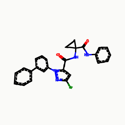 O=C(NC1(C(=O)Nc2ccccc2)CC1)c1cc(Br)nn1-c1cccc(-c2ccccc2)c1